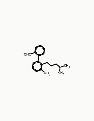 CN(C)CCCc1c(N)cccc1-c1ccccc1C=O